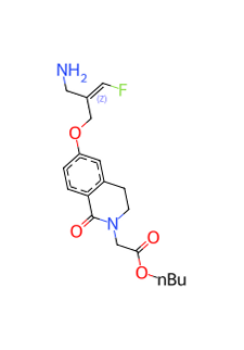 CCCCOC(=O)CN1CCc2cc(OC/C(=C\F)CN)ccc2C1=O